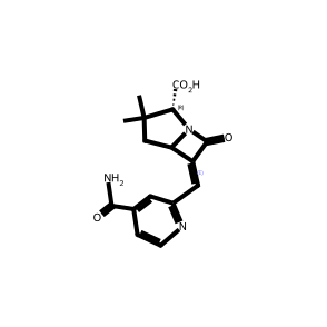 CC1(C)CC2/C(=C\c3cc(C(N)=O)ccn3)C(=O)N2[C@H]1C(=O)O